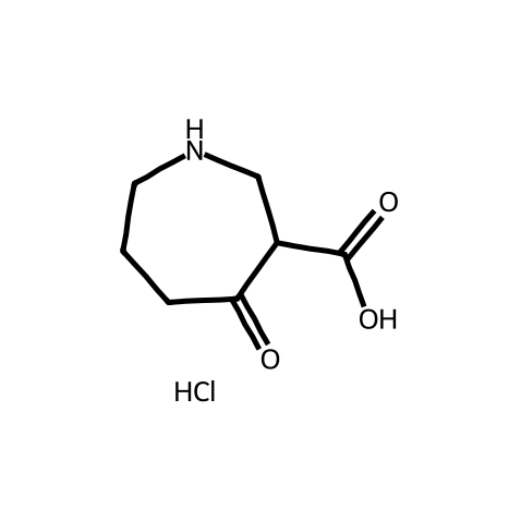 Cl.O=C(O)C1CNCCCC1=O